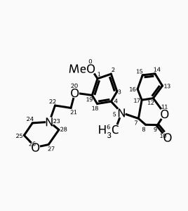 COc1ccc(N(C)C2CC(=O)OC3=CC=CCC32)cc1OCCN1CCOCC1